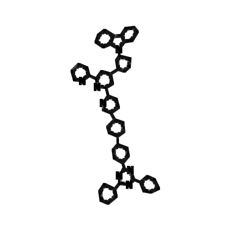 c1ccc(-c2nc(-c3ccccc3)nc(-c3ccc(-c4ccc(-c5ccc(-c6cc(-c7cccc(-n8c9ccccc9c9ccccc98)c7)cc(-c7ccccn7)n6)nc5)cc4)cc3)n2)cc1